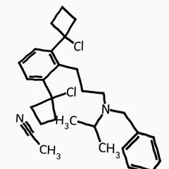 CC#N.CC(C)N(CCCc1c(C2(Cl)CCC2)cccc1C1(Cl)CCC1)Cc1ccccc1